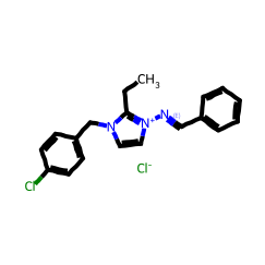 CCc1n(Cc2ccc(Cl)cc2)cc[n+]1/N=C/c1ccccc1.[Cl-]